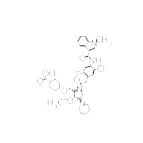 CCOC1[C@H](N2CCCCC2)CN(C(=O)Cc2cc(Cl)c(NC(=O)c3cn(C)c4ccccc34)cc2F)[C@@H]1CO[C@H]1CC[C@H](C(=O)O)CC1